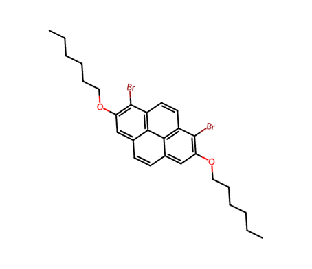 CCCCCCOc1cc2ccc3cc(OCCCCCC)c(Br)c4ccc(c1Br)c2c34